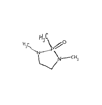 CN1CCN(C)P1(C)=O